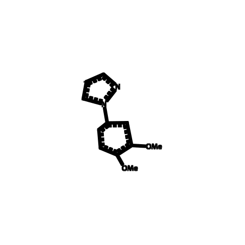 COc1ccc(-n2c[c]cn2)cc1OC